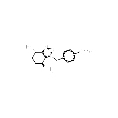 C=C1CC[C@@H](O)c2nnn(Cc3ccc(OC)cc3)c21